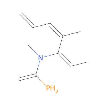 C=C/C=C(C)\C(=C/C)N(C)C(=C)P